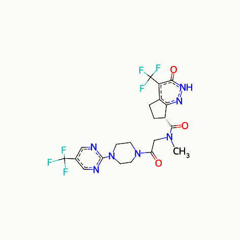 CN(CC(=O)N1CCN(c2ncc(C(F)(F)F)cn2)CC1)C(=O)[C@@H]1CCc2c1n[nH]c(=O)c2C(F)(F)F